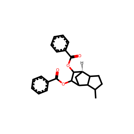 CC1CCC2C1C1C[C@H]2C(OC(=O)c2ccccc2)C1OC(=O)c1ccccc1